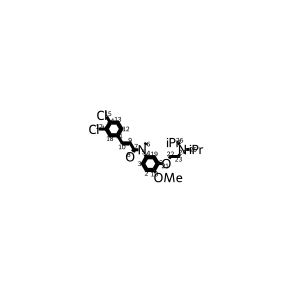 COc1ccc(N(C)C(=O)C=Cc2ccc(Cl)c(Cl)c2)cc1OCCN(C(C)C)C(C)C